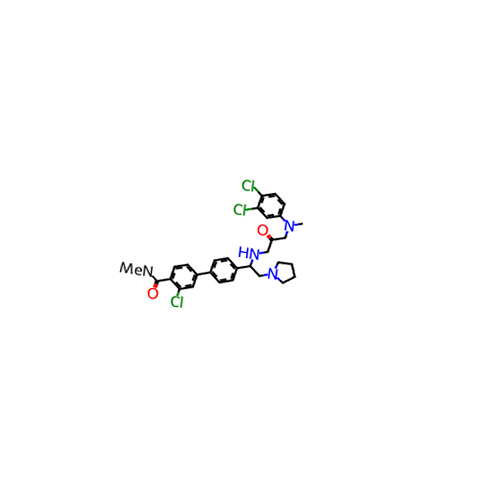 CNC(=O)c1ccc(-c2ccc(C(CN3CCCC3)NCC(=O)CN(C)c3ccc(Cl)c(Cl)c3)cc2)cc1Cl